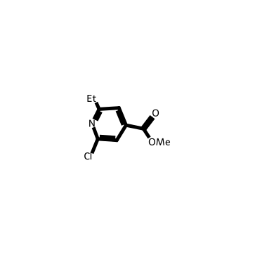 CCc1cc(C(=O)OC)cc(Cl)n1